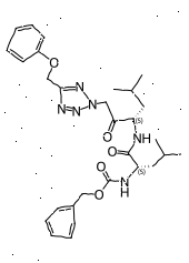 CC(C)C[C@H](NC(=O)[C@H](CC(C)C)NC(=O)OCc1ccccc1)C(=O)Cn1nnc(COc2ccccc2)n1